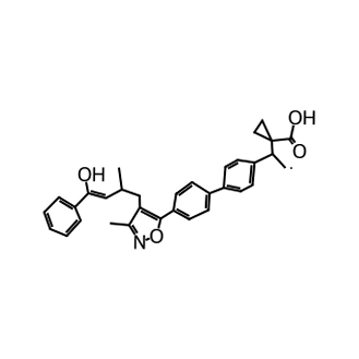 [CH2]C(c1ccc(-c2ccc(-c3onc(C)c3CC(C)/C=C(\O)c3ccccc3)cc2)cc1)C1(C(=O)O)CC1